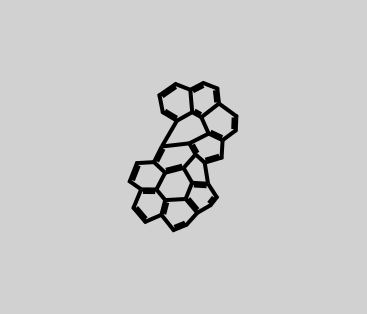 c1cc2ccc3ccc4cc5c6c7c8c-5ccc5ccc9ccc%10ccc(c%11c(c1)c2c3c4c6%11)c7c%10c9c58